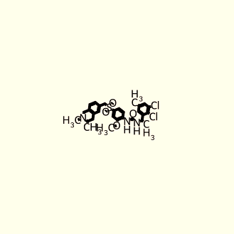 COc1cc(S(=O)(=O)Cc2ccc3c(c2)CC(C)N(C)C3)ccc1NC(=O)NC(C)c1cc(C)cc(Cl)c1Cl